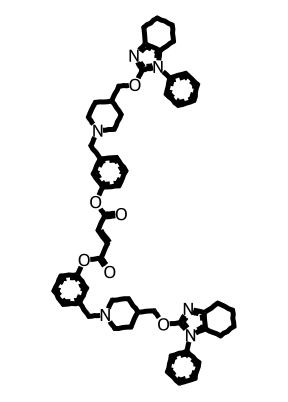 O=C(/C=C/C(=O)Oc1cccc(CN2CCC(COc3nc4c(n3-c3ccccc3)CCCC4)CC2)c1)Oc1cccc(CN2CCC(COc3nc4c(n3-c3ccccc3)CCCC4)CC2)c1